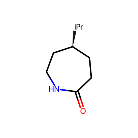 CC(C)[C@@H]1CCNC(=O)CC1